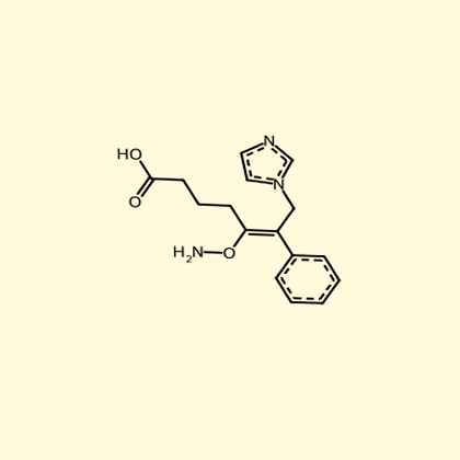 NOC(CCCC(=O)O)=C(Cn1ccnc1)c1ccccc1